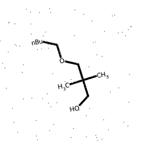 CCCCCOCC(C)(C)CO